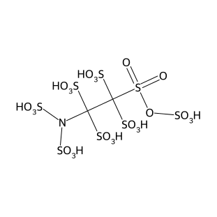 O=S(=O)(O)OS(=O)(=O)C(C(N(S(=O)(=O)O)S(=O)(=O)O)(S(=O)(=O)O)S(=O)(=O)O)(S(=O)(=O)O)S(=O)(=O)O